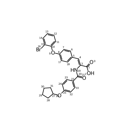 O=C(O)C(=Cc1ccc(Oc2ccccc2Br)cc1)NC(=O)c1ccc(OC2CCCC2)cc1